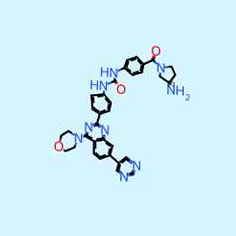 N[C@@H]1CCN(C(=O)c2ccc(NC(=O)Nc3ccc(-c4nc(N5CCOCC5)c5ccc(-c6cncnc6)cc5n4)cc3)cc2)C1